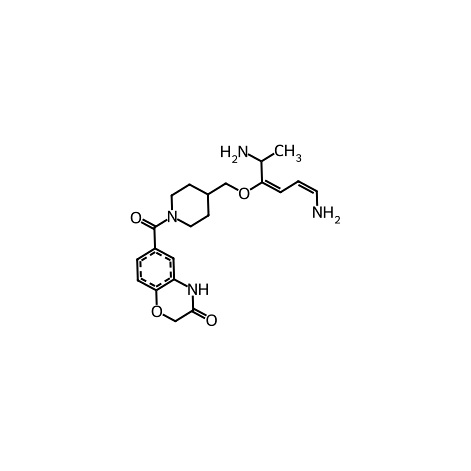 CC(N)/C(=C\C=C/N)OCC1CCN(C(=O)c2ccc3c(c2)NC(=O)CO3)CC1